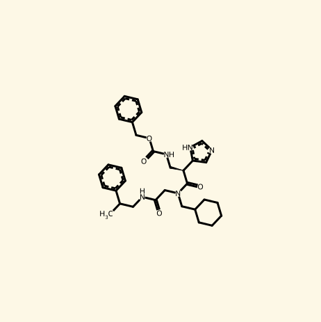 CC(CNC(=O)CN(CC1CCCCC1)C(=O)[C@@H](CNC(=O)OCc1ccccc1)c1cnc[nH]1)c1ccccc1